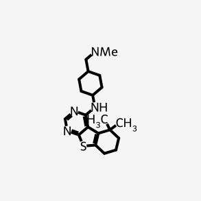 CNCC1CCC(Nc2ncnc3sc4c(c23)C(C)(C)CCC4)CC1